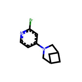 Brc1cc(N2CC3CC(C3)C2)ccn1